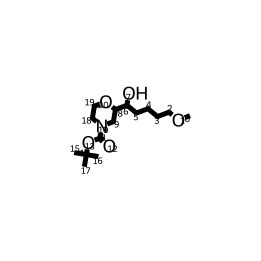 COCCCCC(O)C1CN(C(=O)OC(C)(C)C)CCO1